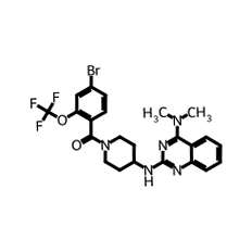 CN(C)c1nc(NC2CCN(C(=O)c3ccc(Br)cc3OC(F)(F)F)CC2)nc2ccccc12